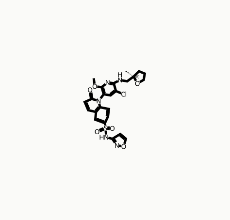 COc1nc(NC[C@@]2(C)CCCO2)c(Cl)cc1-n1c(=O)ccc2cc(S(=O)(=O)Nc3ccon3)ccc21